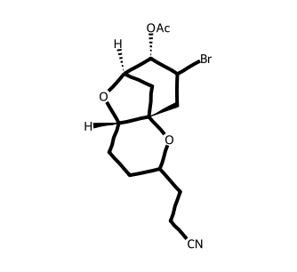 CC(=O)O[C@@H]1C(Br)C[C@]23C[C@H]1O[C@H]2CCC(CCC#N)O3